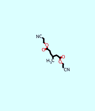 CC(CCC(=O)OCCC#N)CC(=O)OCCC#N